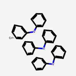 [Cr+3].c1ccc([N-]c2ccccc2)cc1.c1ccc([N-]c2ccccc2)cc1.c1ccc([N-]c2ccccc2)cc1